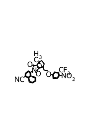 CC12CCC(CCOc3ccc([N+](=O)[O-])c(C(F)(F)F)c3)(O1)C1C(=O)N(c3ccc(C#N)c4ccccc34)C(=O)C12